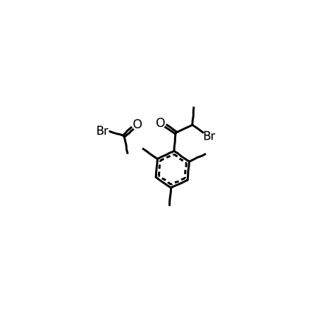 CC(=O)Br.Cc1cc(C)c(C(=O)C(C)Br)c(C)c1